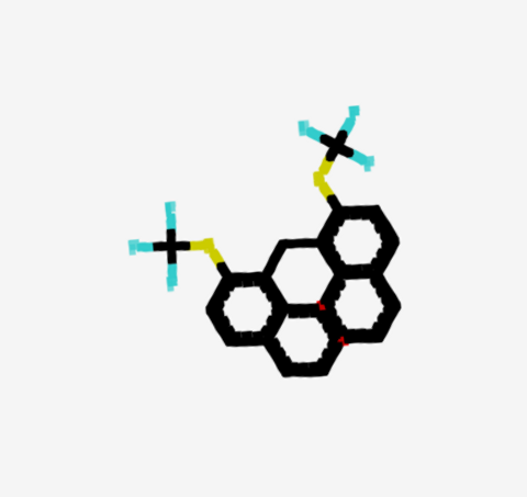 FC(F)(F)Sc1ccc2ccccc2c1Cc1c(SC(F)(F)F)ccc2ccccc12